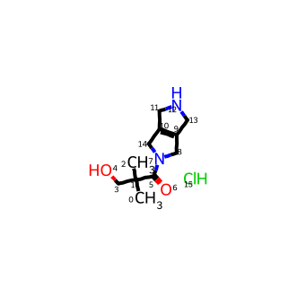 CC(C)(CO)C(=O)N1CC2=C(CNC2)C1.Cl